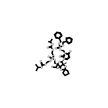 CC(C)OC(=O)OCOP(=O)(OCOC(=O)OC(C)C)OC[C@@]1(CF)O[C@@H](n2ccc(=O)n(COP(=O)(OCc3ccccc3)OCc3ccccc3)c2=O)[C@]2(C)OC3(CCCC3)O[C@H]12